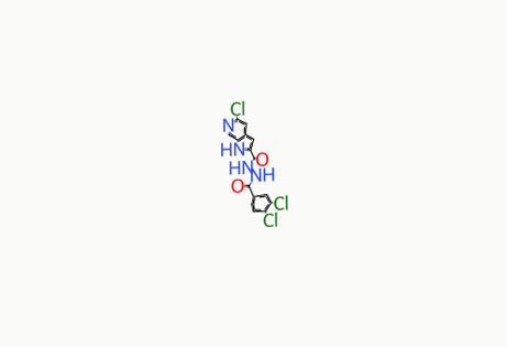 O=C(NNC(=O)c1cc2cc(Cl)ncc2[nH]1)c1ccc(Cl)c(Cl)c1